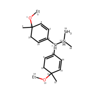 CCOC1(C)C=CC([SiH](C2=CCC(C)(OCC)C=C2)[SiH](C)[SiH3])=CC1